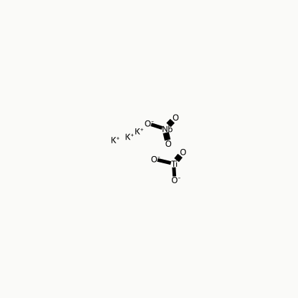 [K+].[K+].[K+].[O]=[Nb](=[O])[O-].[O]=[Ti]([O-])[O-]